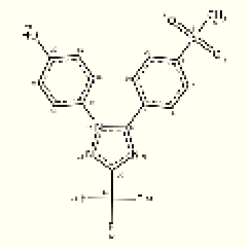 CS(=O)(=O)c1ccc(-c2nc(C(F)(F)F)nn2-c2ccc(O)cc2)cc1